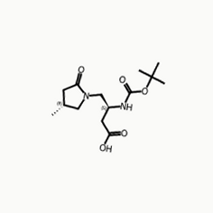 C[C@@H]1CC(=O)N(C[C@H](CC(=O)O)NC(=O)OC(C)(C)C)C1